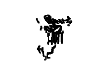 CCCC[C@H]1[C@@H]2Cc3c(n[nH]c3C(N)=O)[C@H]12